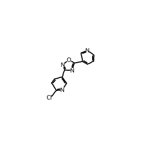 Clc1ccc(-c2noc(-c3cccnc3)n2)cn1